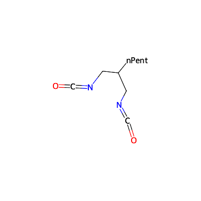 CCCCCC(CN=C=O)CN=C=O